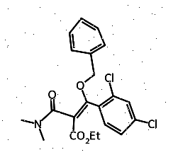 CCOC(=O)C(C(=O)N(C)C)=C(OCc1ccccc1)c1ccc(Cl)cc1Cl